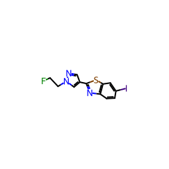 FCCn1cc(-c2nc3ccc(I)cc3s2)cn1